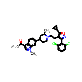 COC(=O)c1cn(C)c2cc(C3CCN(CCc4c(-c5c(Cl)cccc5Cl)noc4C4CC4)C(C)C3)ccc12